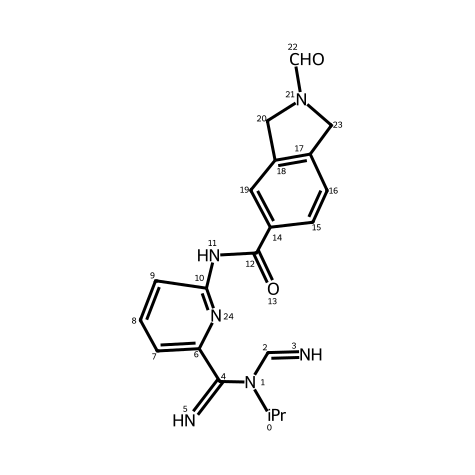 CC(C)N(C=N)C(=N)c1cccc(NC(=O)c2ccc3c(c2)CN(C=O)C3)n1